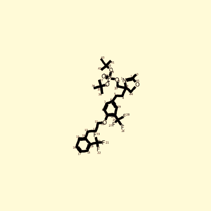 CC1=NC(CCc2ccc(OCCCc3ccccc3C(F)(F)F)c(C(F)(F)F)c2)(COP(=O)(OC(C)(C)C)OC(C)(C)C)CO1